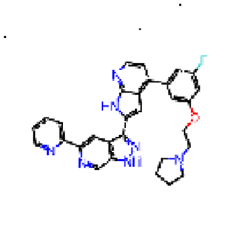 Fc1cc(OCCN2CCCC2)cc(-c2ccnc3[nH]c(-c4n[nH]c5cnc(-c6ccccn6)cc45)cc23)c1